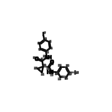 O=C(Nc1ccc(I)cc1)C1(C(=O)Nc2ccc(I)cc2)CC1